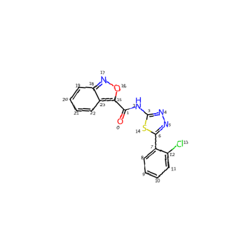 O=C(Nc1nnc(-c2ccccc2Cl)s1)c1onc2ccccc12